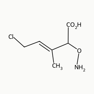 CC(=CCCl)C(ON)C(=O)O